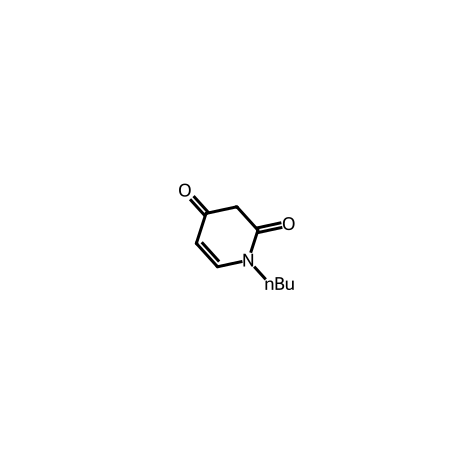 CCCCN1C=CC(=O)CC1=O